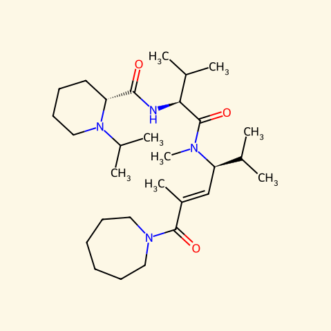 C/C(=C\[C@H](C(C)C)N(C)C(=O)[C@@H](NC(=O)[C@H]1CCCCN1C(C)C)C(C)C)C(=O)N1CCCCCC1